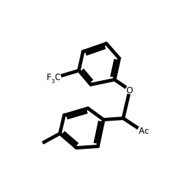 CC(=O)C(Oc1cccc(C(F)(F)F)c1)c1ccc(C)cc1